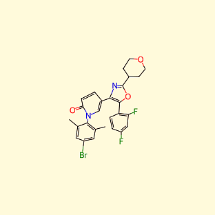 Cc1cc(Br)cc(C)c1-n1cc(-c2nc(C3CCOCC3)oc2-c2ccc(F)cc2F)ccc1=O